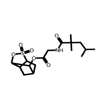 CC(C)CC(C)(C)C(=O)NCC(=O)OC1C2CC3C1OS(=O)(=O)C3C2